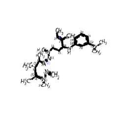 C=NN(C)[C@@H](C)[C@H](C)C(C)/N=N\N(C)CCC(Nc1cccc(N(C)C)c1)/C(C)=C/C